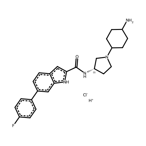 NC1CCC(N2CC[C@H](NC(=O)c3cc4ccc(-c5ccc(F)cc5)cc4[nH]3)C2)CC1.[Cl-].[H+]